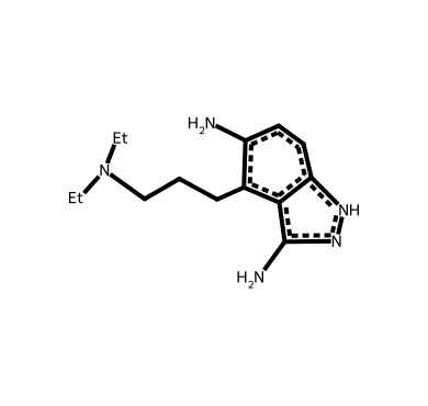 CCN(CC)CCCc1c(N)ccc2[nH]nc(N)c12